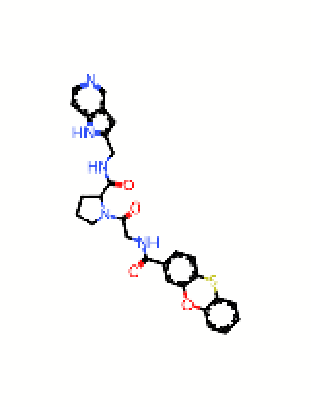 O=C(NCC(=O)N1CCCC1C(=O)NCc1cc2cnccc2[nH]1)c1ccc2c(c1)Oc1ccccc1S2